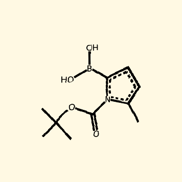 Cc1ccc(B(O)O)n1C(=O)OC(C)(C)C